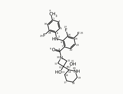 Cc1ccc(Nc2c(C(=O)N3CC(O)([C@]4(O)CCCCN4)C3)ccc(F)c2F)c(F)c1